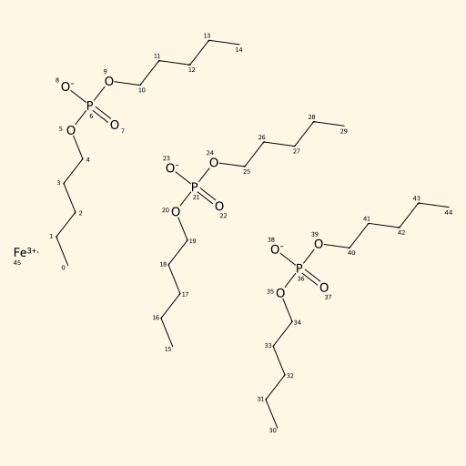 CCCCCOP(=O)([O-])OCCCCC.CCCCCOP(=O)([O-])OCCCCC.CCCCCOP(=O)([O-])OCCCCC.[Fe+3]